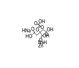 O=C(O)CC(CC(=O)O)(OS(=O)(=O)O)C(=O)O.[NaH].[NaH].[Zn]